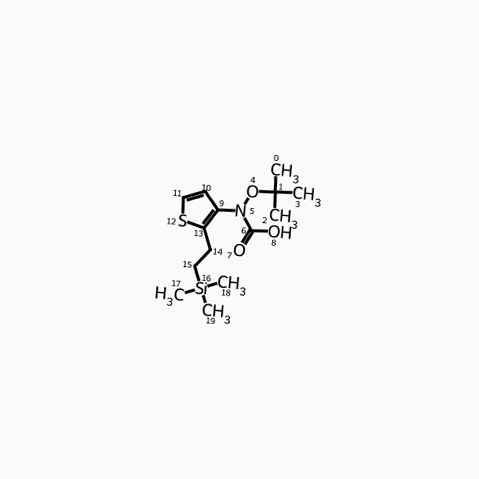 CC(C)(C)ON(C(=O)O)c1ccsc1CC[Si](C)(C)C